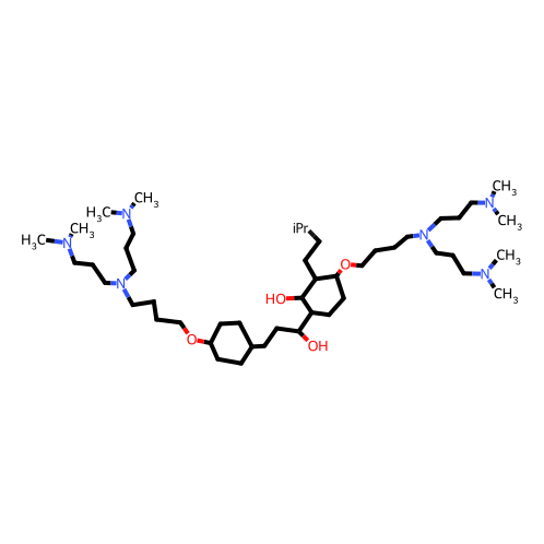 CC(C)CCC1C(OCCCCN(CCCN(C)C)CCCN(C)C)CCC(C(O)CCC2CCC(OCCCCN(CCCN(C)C)CCCN(C)C)CC2)C1O